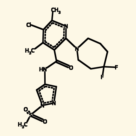 Cc1nc(N2CCCC(F)(F)CC2)c(C(=O)Nc2cnn(S(C)(=O)=O)c2)c(C)c1Cl